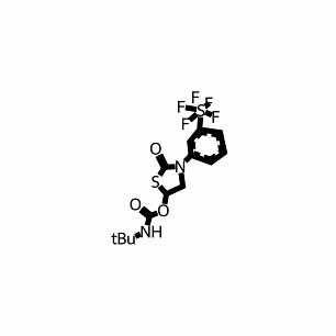 CC(C)(C)NC(=O)OC1CN(c2cccc(S(F)(F)(F)(F)F)c2)C(=O)S1